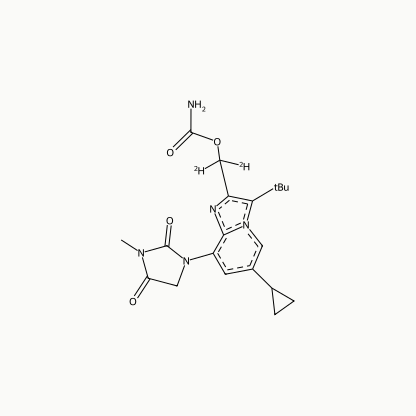 [2H]C([2H])(OC(N)=O)c1nc2c(N3CC(=O)N(C)C3=O)cc(C3CC3)cn2c1C(C)(C)C